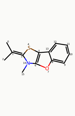 CC(C)=C1Sc2c(oc3ccccc23)N1C